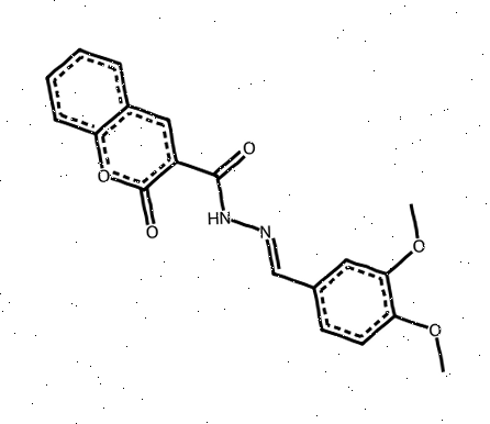 COc1ccc(C=NNC(=O)c2cc3ccccc3oc2=O)cc1OC